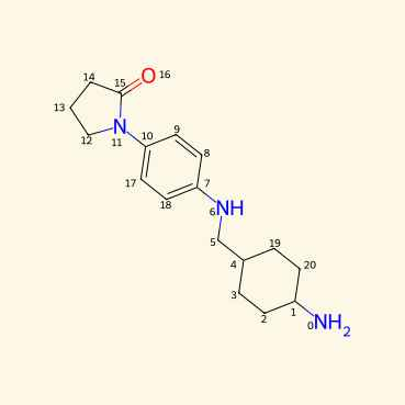 NC1CCC(CNc2ccc(N3CCCC3=O)cc2)CC1